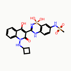 CS(=O)(=O)Nc1ccc2c(c1)S(O)(O)N=C(c1c(O)c3ccccc3n(NC3CCC3)c1=O)N2